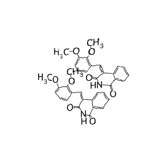 COc1cccc(C=C2C(=O)NC(=O)c3ccccc32)c1OC.COc1cccc(C=C2C(=O)NC(=O)c3ccccc32)c1OC